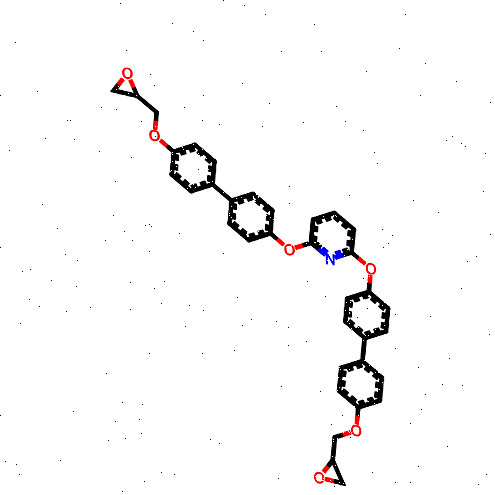 c1cc(Oc2ccc(-c3ccc(OCC4CO4)cc3)cc2)nc(Oc2ccc(-c3ccc(OCC4CO4)cc3)cc2)c1